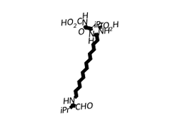 CC(C)C(C=O)NCCCCCCCCCCCCCC(NC(=O)O)N[C@H](C(=O)NC(=O)O)C(C)C